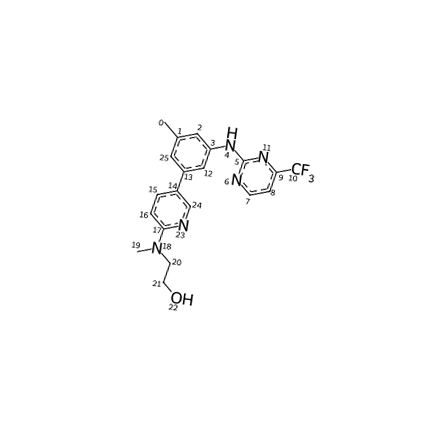 Cc1cc(Nc2nccc(C(F)(F)F)n2)cc(-c2ccc(N(C)CCO)nc2)c1